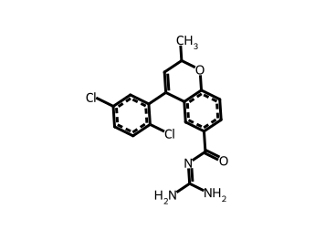 CC1C=C(c2cc(Cl)ccc2Cl)c2cc(C(=O)N=C(N)N)ccc2O1